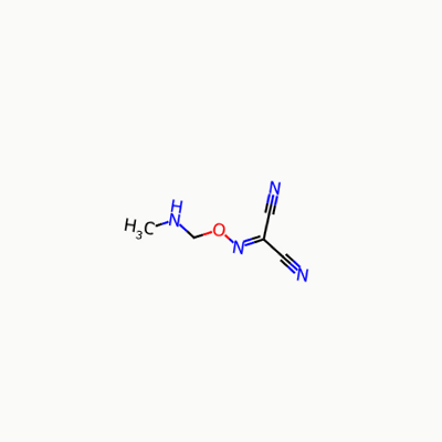 CNCON=C(C#N)C#N